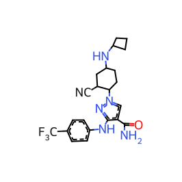 N#CC1CC(NC2CCC2)CCC1n1cc(C(N)=O)c(Nc2ccc(C(F)(F)F)cc2)n1